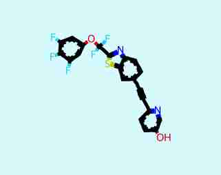 Oc1ccc(C#Cc2ccc3nc(C(F)(F)Oc4cc(F)c(F)c(F)c4)sc3c2)nc1